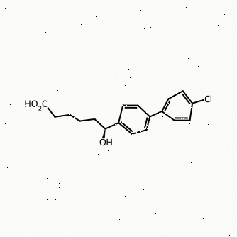 O=C(O)CCCC[C@H](O)c1ccc(-c2ccc(Cl)cc2)cc1